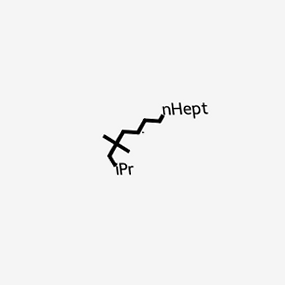 CCCCCCCCC[CH]CC(C)(C)CC(C)C